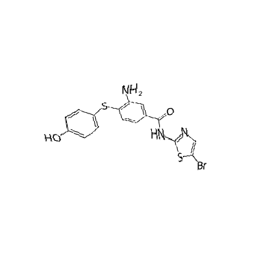 Nc1cc(C(=O)Nc2ncc(Br)s2)ccc1Sc1ccc(O)cc1